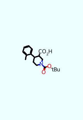 Cc1ccccc1C1CCN(C(=O)OC(C)(C)C)CC1C(=O)O